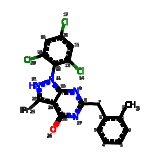 Cc1ccccc1Cc1nc2n(-c3c(Cl)cc(Cl)cc3Cl)[nH]c(C(C)C)c-2c(=O)n1